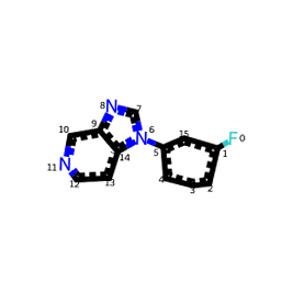 Fc1cccc(-n2cnc3cnccc32)c1